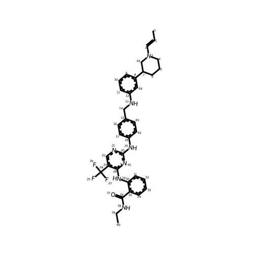 CC=CN1CCCC(c2cccc(NCc3ccc(Nc4ncc(C(F)(F)F)c(Nc5ccccc5C(=O)NCC)n4)cc3)c2)C1